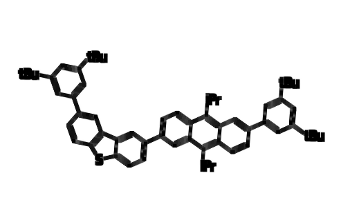 CC(C)c1c2ccc(-c3ccc4sc5ccc(-c6cc(C(C)(C)C)cc(C(C)(C)C)c6)cc5c4c3)cc2c(C(C)C)c2ccc(-c3cc(C(C)(C)C)cc(C(C)(C)C)c3)cc12